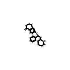 O=C1CCCc2cc(OC(CC3CCCCN3)c3ccccc3)ccc21